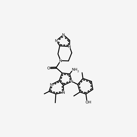 Cc1ccc(O)c(C)c1-n1c(N)c(C(=O)N2CCn3cnnc3C2)c2nc(C)c(C)nc21